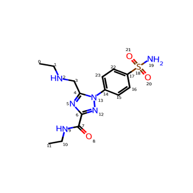 CCNCc1nc(C(=O)NCC)nn1-c1ccc(S(N)(=O)=O)cc1